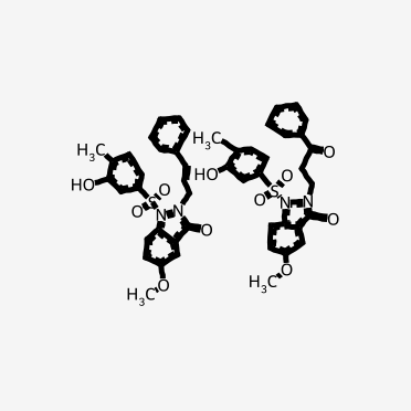 COc1ccc2c(c1)c(=O)n(CC=Cc1ccccc1)n2S(=O)(=O)c1ccc(C)c(O)c1.COc1ccc2c(c1)c(=O)n(CCC(=O)c1ccccc1)n2S(=O)(=O)c1ccc(C)c(O)c1